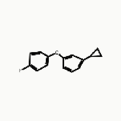 Fc1ccc(Oc2cccc([C]3CC3)c2)cc1